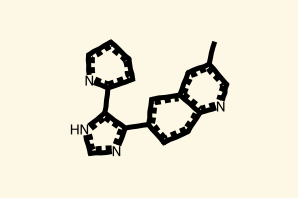 Cc1cnc2ccc(-c3nc[nH]c3-c3ccccn3)cc2c1